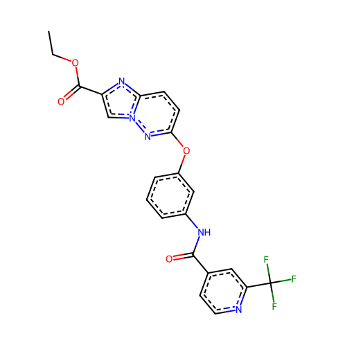 CCOC(=O)c1cn2nc(Oc3cccc(NC(=O)c4ccnc(C(F)(F)F)c4)c3)ccc2n1